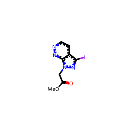 COC(=O)Cn1nc(I)c2ccnnc21